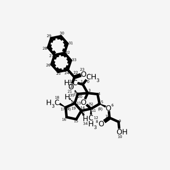 CC(C)C12C[C@@H](OC(=O)CO)[C@@](C)(O1)[C@@H]1CC[C@@H](C)[C@H]1[C@@H]2OC(=O)c1ccc2ccccc2c1